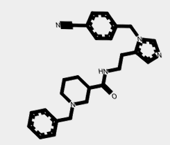 N#Cc1ccc(Cn2cncc2CCNC(=O)C2CCCN(Cc3ccccc3)C2)cc1